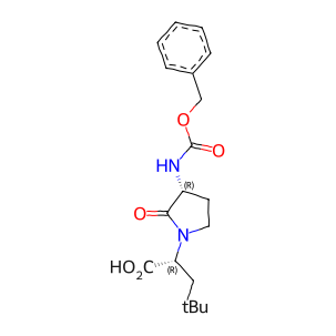 CC(C)(C)C[C@H](C(=O)O)N1CC[C@@H](NC(=O)OCc2ccccc2)C1=O